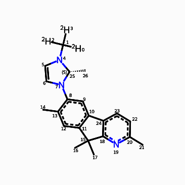 [2H]C([2H])([2H])N1C=CN(c2cc3c(cc2C)C(C)(C)c2nc(C)ccc2-3)[C@H]1C